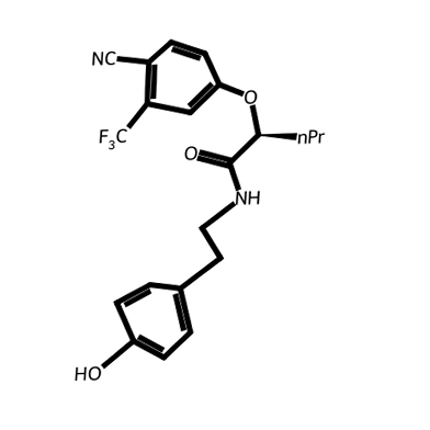 CCC[C@H](Oc1ccc(C#N)c(C(F)(F)F)c1)C(=O)NCCc1ccc(O)cc1